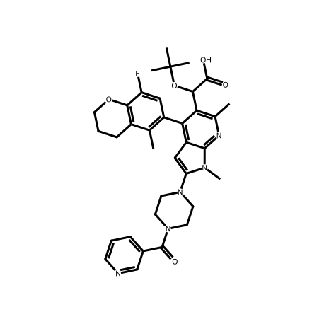 Cc1nc2c(cc(N3CCN(C(=O)c4cccnc4)CC3)n2C)c(-c2cc(F)c3c(c2C)CCCO3)c1C(OC(C)(C)C)C(=O)O